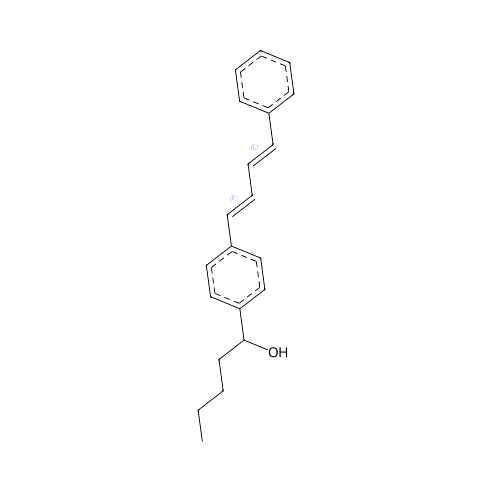 CCCCC(O)c1ccc(/C=C/C=C/c2ccccc2)cc1